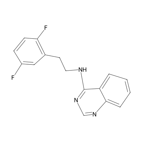 Fc1ccc(F)c(CCNc2ncnc3ccccc23)c1